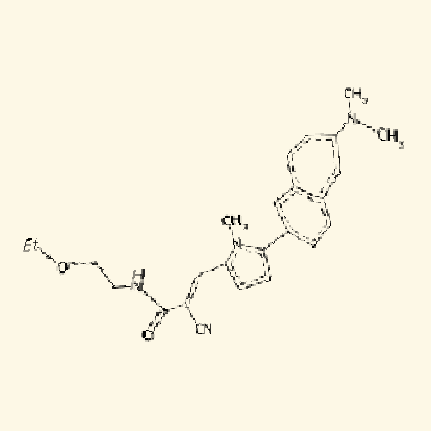 CCOCCNC(=O)/C(C#N)=C/c1ccc(-c2ccc3cc(N(C)C)ccc3c2)n1C